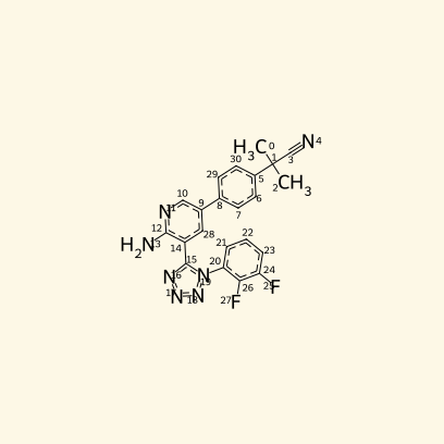 CC(C)(C#N)c1ccc(-c2cnc(N)c(-c3nnnn3-c3cccc(F)c3F)c2)cc1